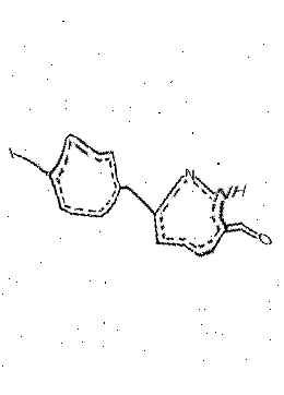 O=c1ccc(-c2ccc(I)cc2)n[nH]1